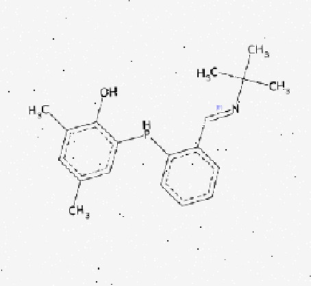 Cc1cc(C)c(O)c(Pc2ccccc2/C=N/C(C)(C)C)c1